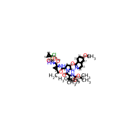 C=CC1CC1(NC(=O)C1CC(Oc2nccc3cc(OC)ccc23)CN1C(=O)C(NC(=O)OC(C)(C)C)C(C)(C)C)C(=O)NS(=O)(=O)C1(Cl)CC1